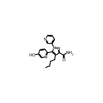 CCCCc1c(C(N)=O)nn(-c2cccnc2)c1-c1ccc(O)cn1